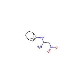 NC(C[N+](=O)[O-])NC1=CC2CCC1C2